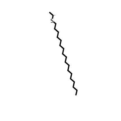 C[CH]SCCCCCCCCCCCCCCCCCC